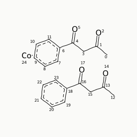 CC(=O)CC(=O)c1ccccc1.CC(=O)CC(=O)c1ccccc1.[Co]